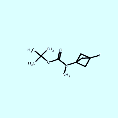 CC(C)(C)OC(=O)N(N)C12CC(F)(C1)C2